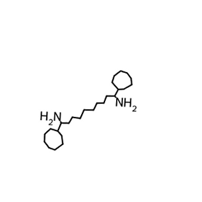 NC(CCCCCCCCC(N)C1CCCCCCC1)C1CCCCCCC1